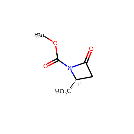 CC(C)(C)OC(=O)N1C(=O)C[C@@H]1C(=O)O